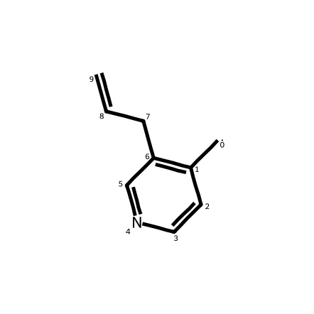 [CH2]c1ccncc1CC=C